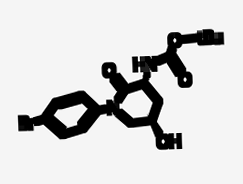 CC(C)(C)OC(=O)N[C@@H]1C[C@@H](O)CN(c2ccc(Br)cc2)C1=O